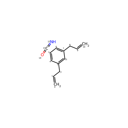 C=CCc1cccc(CC=C)c1.N=C=O